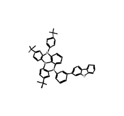 CC(C)(C)c1ccc(N2c3cc(C(C)(C)C)ccc3B3c4ccc(C(C)(C)C)cc4N(c4cccc(-c5ccc6c(c5)oc5ccccc56)c4)c4cccc2c43)cc1